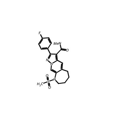 CNC(=O)c1c(-c2ccc(F)cc2)nn2cc3c(cc12)CCCCN3S(C)(=O)=O